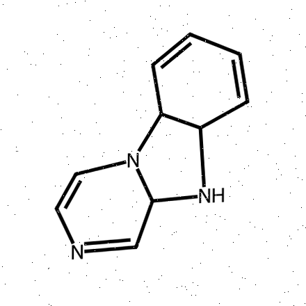 C1=CC2NC3C=NC=CN3C2C=C1